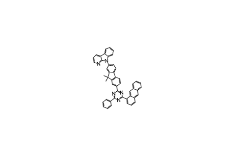 CC1(C)c2cc(-c3nc(-c4ccccc4)nc(-c4cccc5cc6ccccc6cc45)n3)ccc2-c2ccc(-n3c4ccccc4c4cccnc43)cc21